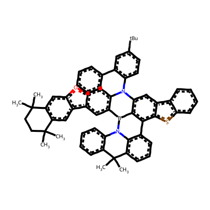 CC(C)(C)c1ccc(N2c3cc4oc5cc6c(cc5c4cc3B3c4c2cc2c(sc5ccccc52)c4-c2cccc4c2N3c2ccccc2C4(C)C)C(C)(C)CCC6(C)C)c(-c2ccccc2)c1